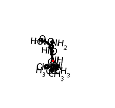 Cc1sc2c(c1C)C(c1ccc(Cl)cc1)=N[C@@H](CC(=O)NCCCC(=O)Nc1ccc(C(N)=O)c(C#CCNC(=O)O)c1)c1nnc(C)n1-2